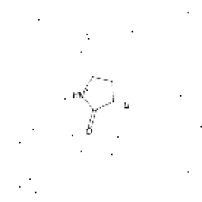 O=C1CCCN1.[Li]